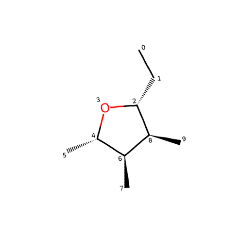 CC[C@H]1O[C@@H](C)[C@H](C)[C@@H]1C